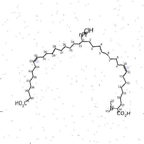 CCCC(CCCCCCCC/C=C\CCCCCCC(C(=O)O)N(C)C)CCCCCCCCC/C=C\CCCCCCCC(=O)O.Cl